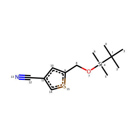 CC(C)(C)[Si](C)(C)OCc1cc(C#N)cs1